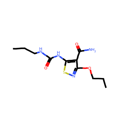 CCCNC(=O)Nc1snc(OCCC)c1C(N)=O